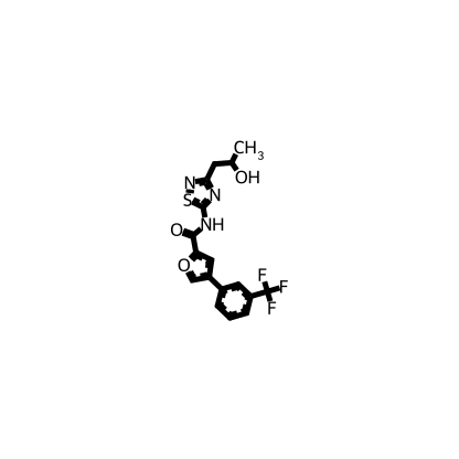 CC(O)Cc1nsc(NC(=O)c2cc(-c3cccc(C(F)(F)F)c3)co2)n1